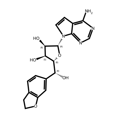 Nc1ncnc2c1ccn2[C@@H]1O[C@H]([C@H](O)c2ccc3c(c2)OCC3)[C@@H](O)[C@H]1O